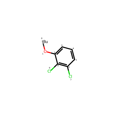 CC(C)(C)Oc1cc[c]c(Cl)c1Cl